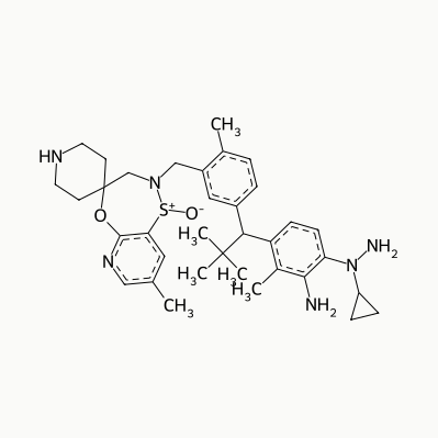 Cc1cnc2c(c1)[S+]([O-])N(Cc1cc(C(c3ccc(N(N)C4CC4)c(N)c3C)C(C)(C)C)ccc1C)CC1(CCNCC1)O2